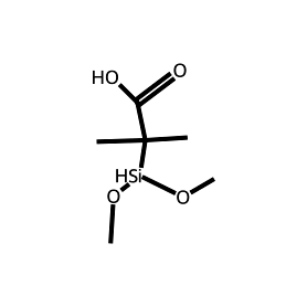 CO[SiH](OC)C(C)(C)C(=O)O